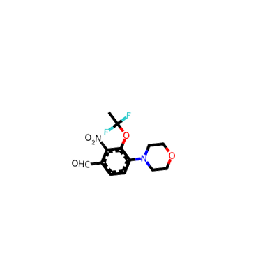 CC(F)(F)Oc1c(N2CCOCC2)ccc(C=O)c1[N+](=O)[O-]